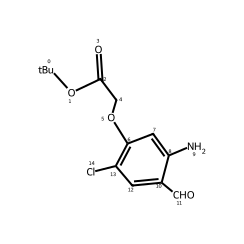 CC(C)(C)OC(=O)COc1cc(N)c(C=O)cc1Cl